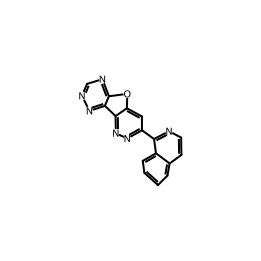 c1ccc2c(-c3cc4oc5ncnnc5c4nn3)nccc2c1